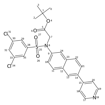 CC(C)(C)OC(=O)CN(c1ccc2cc(-c3ccncc3)ccc2c1)S(=O)(=O)c1cc(Cl)cc(Cl)c1